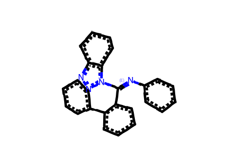 c1ccc(/N=C(\c2ccccc2-c2ccccc2)n2nnc3ccccc32)cc1